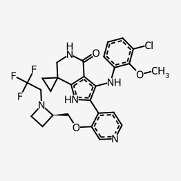 COc1c(Cl)cccc1Nc1c(-c2ccncc2OC[C@H]2CCN2CC(F)(F)F)[nH]c2c1C(=O)NCC21CC1